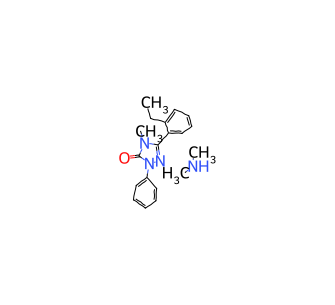 CCc1ccccc1-c1nn(-c2ccccc2)c(=O)n1C.CNC